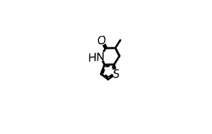 CC1Cc2sccc2NC1=O